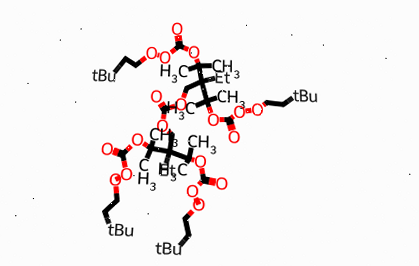 CCC(COC(=O)OCC(CC)(C(C)(C)OC(=O)OOCCC(C)(C)C)C(C)(C)OC(=O)OOCCC(C)(C)C)(C(C)(C)OC(=O)OOCCC(C)(C)C)C(C)(C)OC(=O)OOCCC(C)(C)C